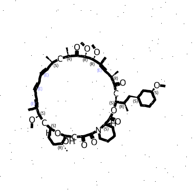 CO[C@H]1CCC[C@@H](C[C@@H](C)[C@@H]2CC(=O)[C@H](C)/C=C(\C)[C@@H](OC)[C@@H](OC)C(=O)[C@H](C)C[C@H](C)/C=C/C=C/C=C(\C)[C@@H](OC)C[C@@H]3CC[C@@H](C)[C@](O)(CC(=O)C(=O)N4CCCC[C@H]4C(=O)O2)O3)C1